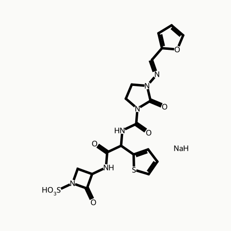 O=C(NC1CN(S(=O)(=O)O)C1=O)C(NC(=O)N1CCN(N=Cc2ccco2)C1=O)c1cccs1.[NaH]